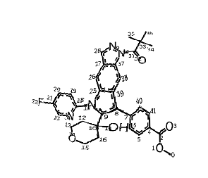 COC(=O)c1ccc(-c2c(C3(O)CCOCC3)n(-c3ccc(F)cn3)c3cc4cnn(C(=O)C(C)(C)C)c4cc23)cc1